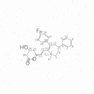 CC1(C)CCC(c2ccccc2)CC(c2ccc(F)cc2)=C1C=CC1CC(O)CC(=O)O1